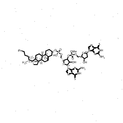 COP(=O)(OC[C@H]1O[C@@H](n2cnc3c(=S)[nH]c(N)nc32)CC1O)OC1C(O)[C@H](n2cnc3c(=S)[nH]c(N)nc32)O[C@@H]1COP(=O)(O)O[C@H]1CC[C@@]2(C)C(=CC[C@H]3[C@@H]4CC[C@H]([C@H](C)CCCC(C)C)[C@@]4(C)CC[C@@H]32)C1